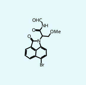 COCC(C(=O)NC=O)N1C(=O)c2cccc3c(Br)ccc1c23